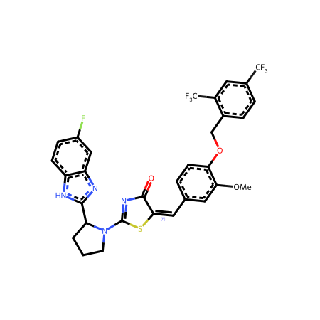 COc1cc(/C=C2/SC(N3CCCC3c3nc4cc(F)ccc4[nH]3)=NC2=O)ccc1OCc1ccc(C(F)(F)F)cc1C(F)(F)F